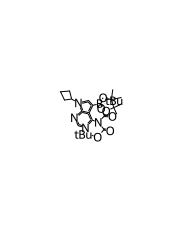 CC(C)(C)OC(=O)N(C(=O)OC(C)(C)C)c1ncnc2c1c(B1OC(C)(C)C(C)(C)O1)cn2C1CCC1